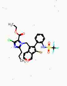 CCCc1nc(Cl)c(C(=O)OCC)n1Cc1c2ccocc-2c(Br)c1-c1ccccc1NS(=O)(=O)C(F)(F)F